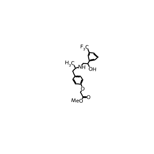 COC(=O)COc1ccc(CC(C)NCC(O)c2cccc(C(F)(F)F)c2)cc1